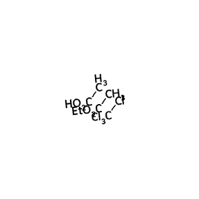 CC(=O)O.CCOC(C)=O.ClC(Cl)(Cl)Cl